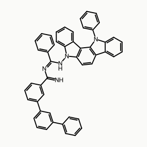 N=C(/N=C(\Nn1c2ccccc2c2c1ccc1c3ccccc3n(-c3ccccc3)c12)c1ccccc1)c1cccc(-c2cccc(-c3ccccc3)c2)c1